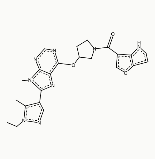 CCn1ncc(-c2nc3c(OC4CCN(C(=O)c5coc6cc[nH]c56)C4)ncnc3n2C)c1C